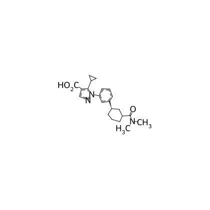 CN(C)C(=O)C1CCC[C@@H](c2cccc(-n3ncc(C(=O)O)c3C3CC3)c2)C1